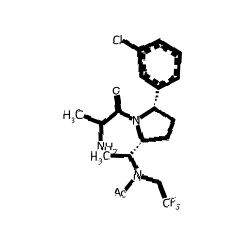 CC(=O)N(CC(F)(F)F)C(C)[C@H]1CC[C@@H](c2cccc(Cl)c2)N1C(=O)C(C)N